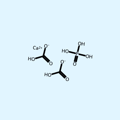 O=C([O-])O.O=C([O-])O.O=P(O)(O)O.[Ca+2]